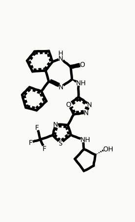 O=C1Nc2ccccc2C(c2ccccc2)=N[C@@H]1Nc1nnc(-c2nc(C(F)(F)F)sc2NC2CCC[C@H]2O)o1